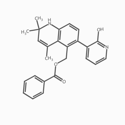 CC1=CC(C)(C)Nc2ccc(-c3cccnc3O)c(COC(=O)c3ccccc3)c21